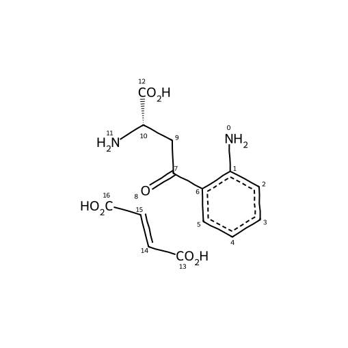 Nc1ccccc1C(=O)C[C@H](N)C(=O)O.O=C(O)/C=C/C(=O)O